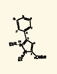 CCn1c(OC)cc(-c2ccccc2)[n+]1CC